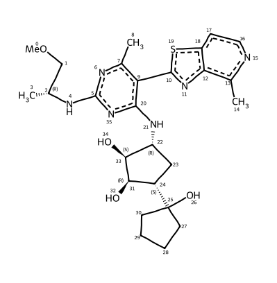 COC[C@@H](C)Nc1nc(C)c(-c2nc3c(C)nccc3s2)c(N[C@@H]2C[C@H](C3(O)CCCC3)[C@@H](O)[C@H]2O)n1